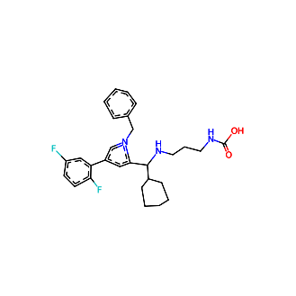 O=C(O)NCCCNC(c1cc(-c2cc(F)ccc2F)cn1Cc1ccccc1)C1CCCCC1